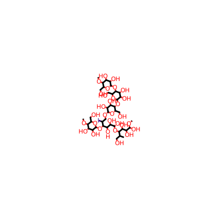 COC(O)C(O)C(O)C(OC(O)C(O)C(O)C(OC1OC(CO)C(OC)C(O)C1O)C(I)COC1OC(CO)C(OC2OC(CO)C(OC3OC(CO)C(OC)C(O)C3O)C(O)C2O)C(O)C1O)C(C)CO